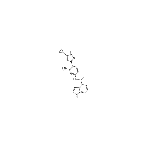 CC(Nc1ncc(-c2cc(C3CC3)[nH]n2)c(N)n1)c1cccc2[nH]ccc12